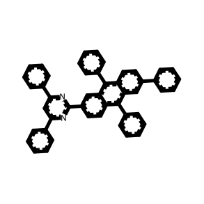 c1ccc(-c2ccc3c(-c4ccccc4)c4cc(-c5nc(-c6ccccc6)cc(-c6ccccc6)n5)ccc4c(-c4ccccc4)c3c2)cc1